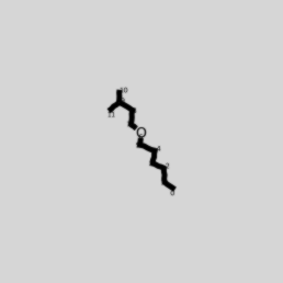 CCCCCCOCCC(C)C